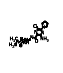 CN(C)S(=O)(=O)NNC=NC(=O)c1nc(Cl)c(N2CCCC2)nc1N